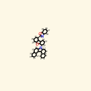 c1ccc2c(c1)ccc1c2c2c3ccccc3ccc2n1-c1cccc2c1oc1cccc(-c3nc4ccccc4o3)c12